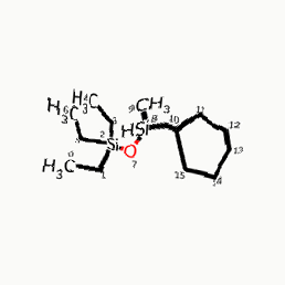 CC[Si](CC)(CC)O[SiH](C)C1CCCCC1